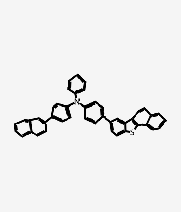 c1ccc(N(c2ccc(-c3ccc4ccccc4c3)cc2)c2ccc(-c3ccc4sc5c6ccccc6ccc5c4c3)cc2)cc1